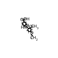 C=CCOc1ccc(-c2nc3cc(C(=O)O)ccc3[nH]2)c(OC)c1